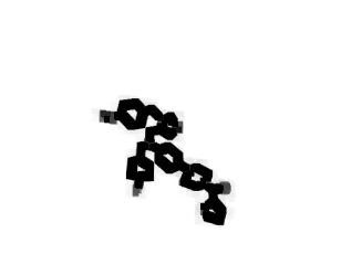 N#Cc1ccc(Cn2cncc2CN(Cc2ccc(F)cc2)c2ccc(N3CCN(C(=O)c4cccs4)CC3)cc2)cc1